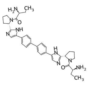 CC[C@H](N)C(=O)N1CCC[C@H]1c1ncc(-c2ccc(-c3ccc(-c4cnc([C@@H]5CCCN5C(=O)[C@@H](N)CC)[nH]4)cc3)cc2)[nH]1